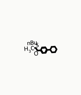 CCCCSC(C)C(=O)c1ccc(C2CCCCC2)cc1